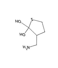 NCC1CCSC1(O)O